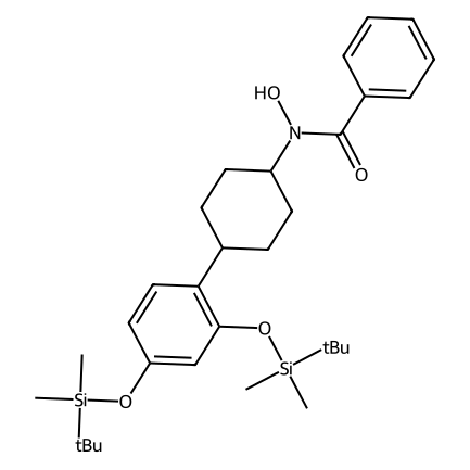 CC(C)(C)[Si](C)(C)Oc1ccc(C2CCC(N(O)C(=O)c3ccccc3)CC2)c(O[Si](C)(C)C(C)(C)C)c1